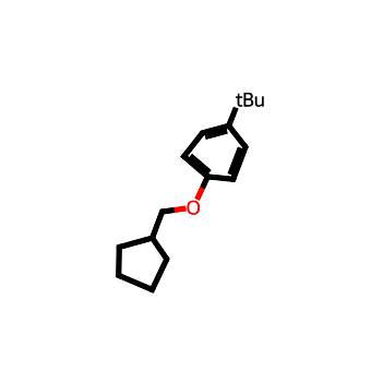 CC(C)(C)c1ccc(OCC2CCCC2)cc1